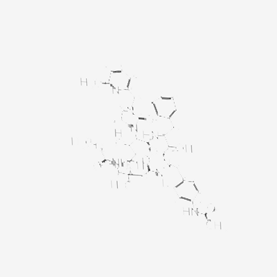 CCC(C)C(C(=O)NC(Cc1ccccc1)C(O)CN(Cc1ccc(NC(C)=O)cc1)NC(=O)CC(C)(C)CNC(=O)OC)N1CCN(Cc2cccc(C)n2)C1=O